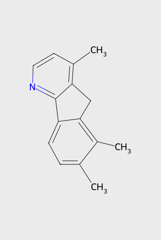 Cc1ccc2c(c1C)Cc1c(C)ccnc1-2